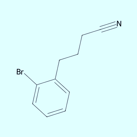 N#CCCCc1ccccc1Br